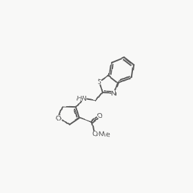 COC(=O)C1=C(NCc2nc3ccccc3s2)COC1